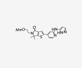 COCCN1C(=O)c2cc(-c3ccnc(Nc4ccn[nH]4)c3)sc2C1(C)C